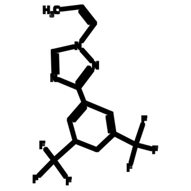 C/C=C\n1cnc(C2=CC(C(F)(F)F)CC(C(F)(F)F)=C2)n1